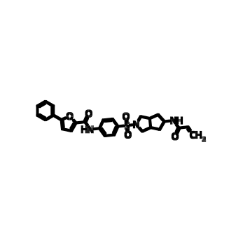 C=CC(=O)NC1CC2CN(S(=O)(=O)c3ccc(NC(=O)c4ccc(-c5ccccc5)o4)cc3)CC2C1